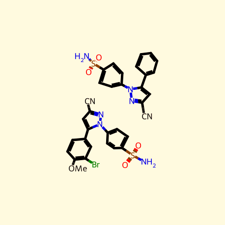 COc1ccc(-c2cc(C#N)nn2-c2ccc(S(N)(=O)=O)cc2)cc1Br.N#Cc1cc(-c2ccccc2)n(-c2ccc(S(N)(=O)=O)cc2)n1